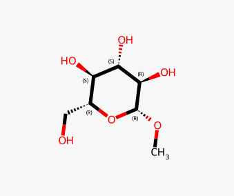 CO[C@@H]1O[C@H](CO)[C@@H](O)[C@H](O)[C@H]1O